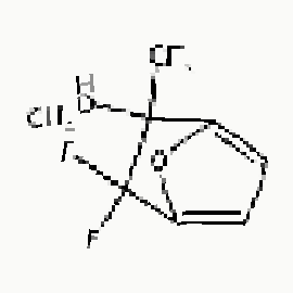 C.OC1(C(F)(F)F)c2ccc(o2)C1(F)F